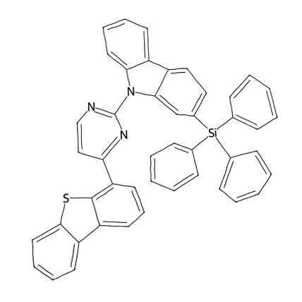 c1ccc([Si](c2ccccc2)(c2ccccc2)c2ccc3c4ccccc4n(-c4nccc(-c5cccc6c5sc5ccccc56)n4)c3c2)cc1